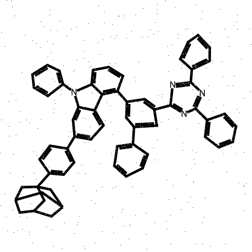 c1ccc(-c2cc(-c3nc(-c4ccccc4)nc(-c4ccccc4)n3)cc(-c3cccc4c3c3ccc(-c5ccc(C67CC8CC(CC(C8)C6)C7)cc5)cc3n4-c3ccccc3)c2)cc1